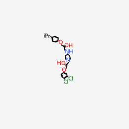 CC(C)c1ccc(OC[C@H](O)CNC2CCN(C[C@@H](O)COc3ccc(Cl)c(Cl)c3)CC2)cc1